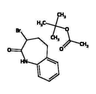 CC(=O)OC(C)(C)C.O=C1Nc2ccccc2CCC1Br